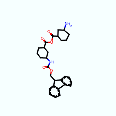 NC1CCCC(C(=O)OC(=O)C2CCCC(NC(=O)OCC3c4ccccc4-c4ccccc43)C2)C1